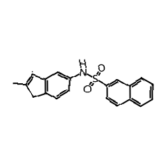 CC1=[C]c2cc(NS(=O)(=O)c3ccc4ccccc4c3)ccc2C1